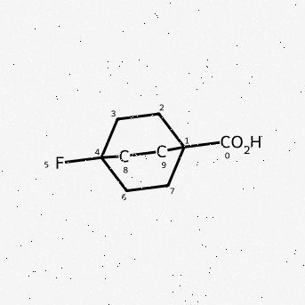 O=C(O)C12CCC(F)(CC1)CC2